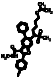 C=C(C)OCCCCN(c1cc2oc(-c3ccc(F)cc3)c(C(=O)NC)c2cc1-c1ccccc1)S(C)(=O)=O